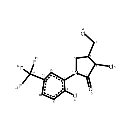 O=C1C(Cl)C(CCl)CN1c1cc(C(F)(F)F)ccc1Cl